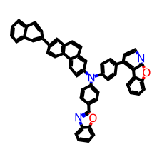 c1ccc2cc(-c3ccc4c(ccc5cc(N(c6ccc(-c7nc8ccccc8o7)cc6)c6ccc(-c7ccnc8oc9ccccc9c78)cc6)ccc54)c3)ccc2c1